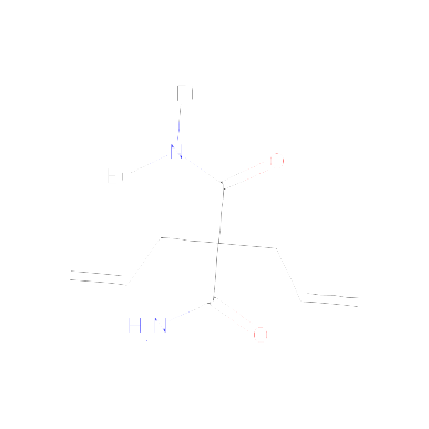 C=CCC(CC=C)(C(N)=O)C(=O)N(CC)CC